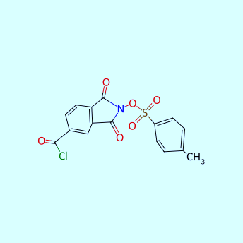 Cc1ccc(S(=O)(=O)ON2C(=O)c3ccc(C(=O)Cl)cc3C2=O)cc1